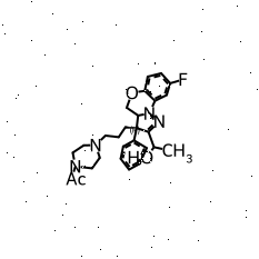 CC(=O)N1CCN(CCC[C@]2(c3ccccc3)C(C(C)O)=NN3c4cc(F)ccc4OCC32)CC1